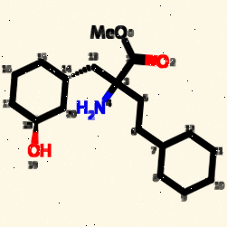 COC(=O)C(N)(CCC1CCCCC1)C[C@H]1CCC[C@H](O)C1